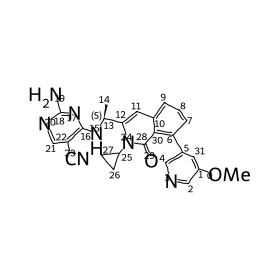 COc1cncc(-c2cccc3cc([C@H](C)Nc4nc(N)ncc4C#N)n(C4CC4)c(=O)c23)c1